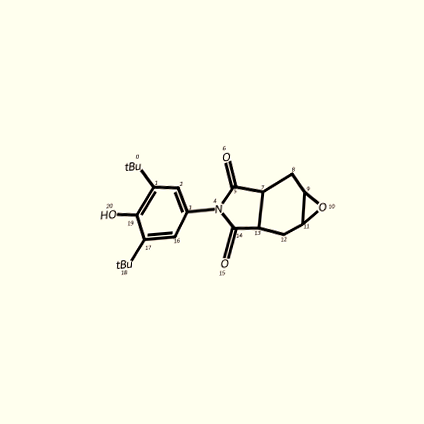 CC(C)(C)c1cc(N2C(=O)C3CC4OC4CC3C2=O)cc(C(C)(C)C)c1O